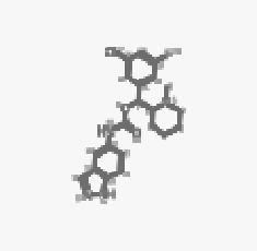 CN1CCCCC1C(OC(=O)Nc1ccc2[nH]ncc2c1)c1cc(F)cc(Cl)c1